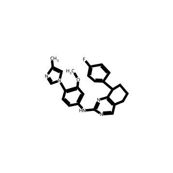 COc1cc(Nc2ncc3c(n2)C(c2ccc(F)cc2)CCC3)ccc1-n1cnc(C)c1